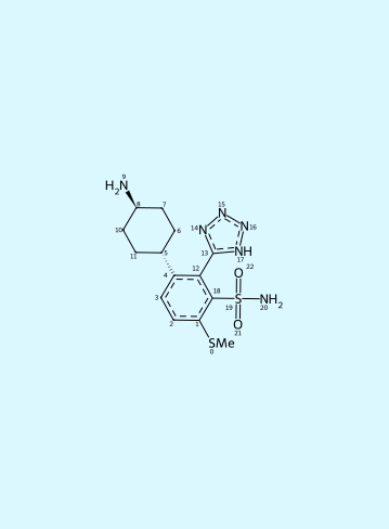 CSc1ccc([C@H]2CC[C@H](N)CC2)c(-c2nnn[nH]2)c1S(N)(=O)=O